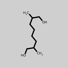 CC(CO)CCCCC(C)CO